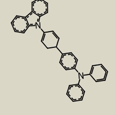 C1=C=CC(N(c2ccccc2)c2ccc(C3C=CC(n4c5ccccc5c5ccccc54)=CC3)cc2)=CC=1